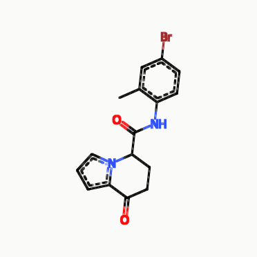 Cc1cc(Br)ccc1NC(=O)C1CCC(=O)c2cccn21